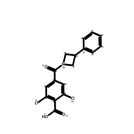 O=C(O)c1c(Cl)cc(C(=O)N2CC(c3ccccc3)C2)cc1Cl